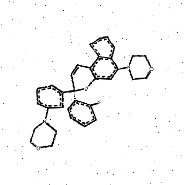 Fc1ccccc1[C@]1(c2cccc(N3CCOCC3)c2)C=Cc2c(cc(N3CCOCC3)c3ccccc23)O1